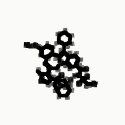 COc1ccc2c(c1)C=C(c1c(C(=O)N3C4CCC[C@@H]3COC4)cnn1C)Cn1c-2c(C2CCCCC2)c2ccc(C(=O)NS(=O)(=O)CC(C)C)cc21